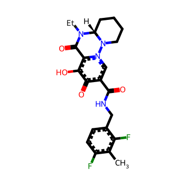 CCN1C(=O)c2c(O)c(=O)c(C(=O)NCc3ccc(F)c(C)c3F)cn2N2CCCC[C@@H]12